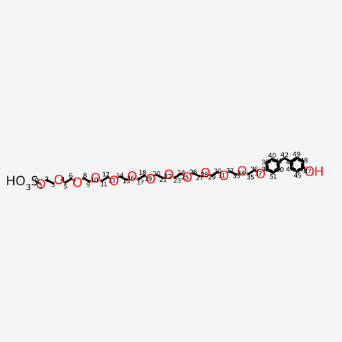 O=S(=O)(O)OCCOCCOCCOCCOCCOCCOCCOCCOCCOCCOCCOCCOc1ccc(Cc2ccc(O)cc2)cc1